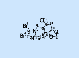 CC(C)c1nc(Br)c(Br)n1Cc1cc2c(cc1Cl)OCO2